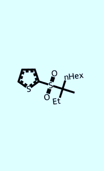 CCCCCCC(C)(CC)S(=O)(=O)c1cccs1